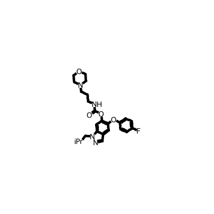 CC(C)Cn1ncc2cc(Oc3ccc(F)cc3)c(OC(=O)NCCCN3CCOCC3)cc21